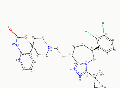 O=C1Nc2ncccc2C2(CCN(CC[C@@H]3CC[C@@H](c4cccc(F)c4F)Cn4c3nnc4C3(C(F)(F)F)CC3)CC2)O1